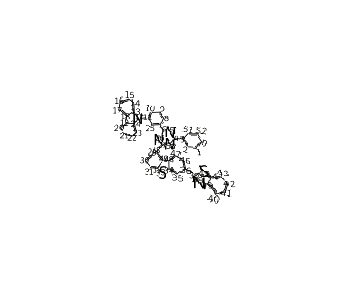 c1ccc(-c2nc(-c3cccc(-n4c5ccccc5c5ccccc54)c3)nc(-c3cccc4sc5cc(-c6nc7ccccc7s6)ccc5c34)n2)cc1